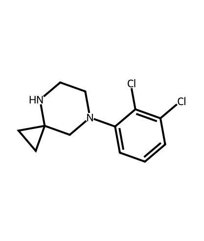 Clc1cccc(N2CCNC3(CC3)C2)c1Cl